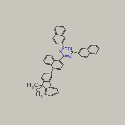 CC1(C)c2ccccc2-c2cc(-c3ccc(-c4nc(-c5ccc6ccccc6c5)nc(-c5ccc6ccccc6c5)n4)c4ccccc34)ccc21